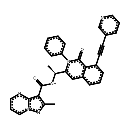 Cc1nn2cccnc2c1C(=O)N[C@@H](C)c1cc2cccc(C#Cc3cccnc3)c2c(=O)n1-c1ccccc1